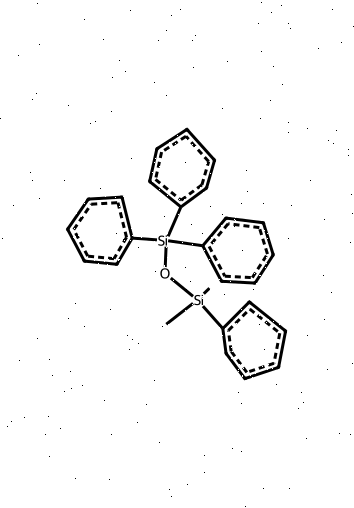 C[Si](C)(O[Si](c1ccccc1)(c1ccccc1)c1ccccc1)c1ccccc1